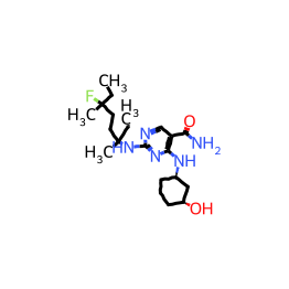 CCC(C)(F)CCC(C)(CC)Nc1ncc(C(N)=O)c(N[C@@H]2CCC[C@H](O)C2)n1